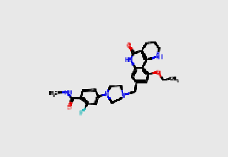 CCOc1cc(CN2CCN(c3ccc(C(=O)NC)c(F)c3)CC2)cc2[nH]c(=O)c3c(c12)NCCC3